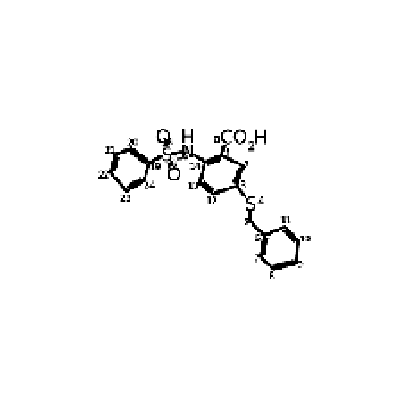 O=C(O)c1cc(SCc2ccccc2)ccc1NS(=O)(=O)c1ccccc1